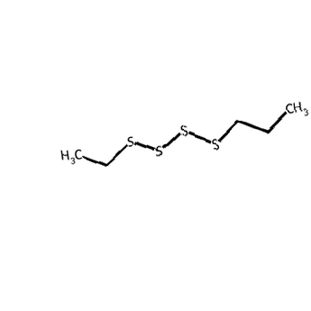 CCCSSSSCC